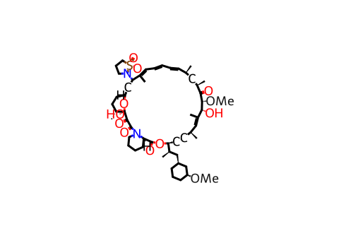 CO[C@H]1CCC[C@@H](C[C@@H](C)[C@@H]2CC[C@H](C)/C=C(\C)[C@@H](O)[C@@H](OC)C(=O)[C@H](C)C[C@H](C)/C=C/C=C/C=C(\C)C(N3CCCS3(=O)=O)C[C@@H]3CC[C@@H](C)[C@@](O)(O3)C(=O)C(=O)N3CCCC[C@H]3C(=O)O2)C1